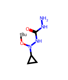 CC(C)(C)ON(NC(=O)NN)C1CC1